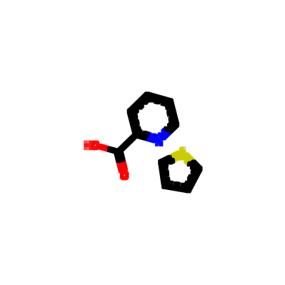 O=C(O)c1ccccn1.c1ccsc1